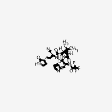 CC1(C)[C@@H]2[C@@H](C(=O)N[C@H](C#N)CC[C@@H]3CCNC3=O)N(C(=O)[C@H](Cn3cccn3)NC(=O)C(F)(F)F)C[C@@H]21